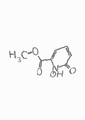 COC(=O)c1cccc(=O)n1O